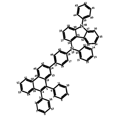 c1ccc(-c2c(-c3ccccc3)c3cc(-c4ccc(N(c5ccccc5)c5cccc6c5c5ccccc5n6-c5ccccc5)cc4)ccc3c3ccccc23)cc1